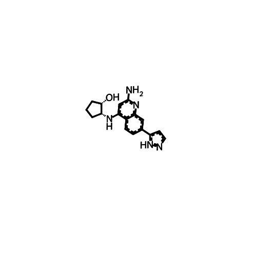 Nc1cc(N[C@@H]2CCC[C@@H]2O)c2ccc(-c3ccn[nH]3)cc2n1